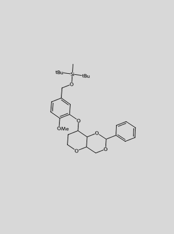 COc1ccc(CO[Si](C)(C(C)(C)C)C(C)(C)C)cc1OC1CCOC2COC(c3ccccc3)OC21